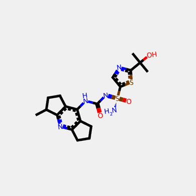 CC1CCc2c1nc1c(c2NC(=O)N=[S@](N)(=O)c2cnc(C(C)(C)O)s2)CCC1